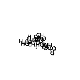 C[C@H](OC(C)(C)CCCOC(C)(C)O)[C@@H](C)CNC(=O)CC[C@H](NC(=O)OCC1c2ccccc2-c2ccccc21)C(=O)O